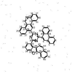 c1ccc2c(c1)cc(-c1nc(-c3cc4c5ccccc5ncc4c4ccccc34)nc(-c3cccc4oc5c6ccccc6ccc5c34)n1)c1ccccc12